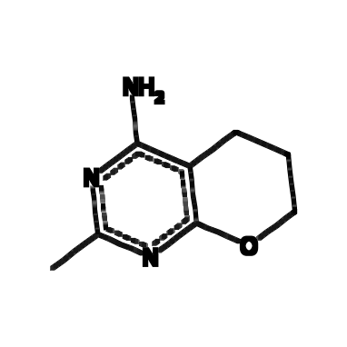 Cc1nc(N)c2c(n1)OCCC2